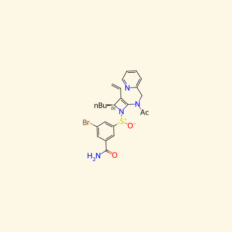 C=CC1=C(N(Cc2ccccn2)C(C)=O)N([S+]([O-])c2cc(Br)cc(C(N)=O)c2)[C@H]1CCCC